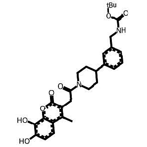 Cc1c(CC(=O)N2CCC(c3cccc(CNC(=O)OC(C)(C)C)c3)CC2)c(=O)oc2c(O)c(O)ccc12